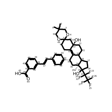 CC1(C)COC2(CCC3=C4C(CC[C@@]3(O)C2)C2CCC(O)(C(F)(F)C(F)(F)F)[C@@]2(C)C[C@@H]4c2ccc(/C=C/c3cccc(C(=O)O)c3)cc2)OC1